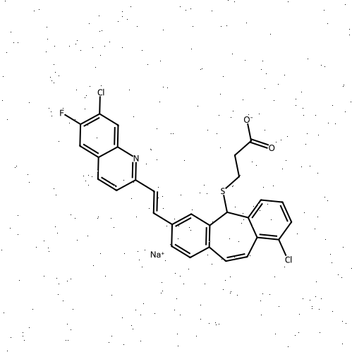 O=C([O-])CCSC1c2cc(C=Cc3ccc4cc(F)c(Cl)cc4n3)ccc2C=Cc2c(Cl)cccc21.[Na+]